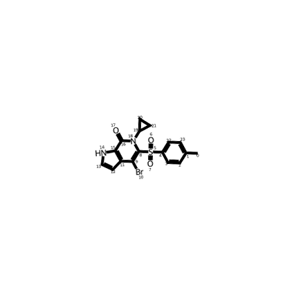 Cc1ccc(S(=O)(=O)c2c(Br)c3cc[nH]c3c(=O)n2C2CC2)cc1